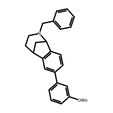 COc1cccc(-c2ccc3c(c2)C2CCN(Cc4ccccc4)C3C2)c1